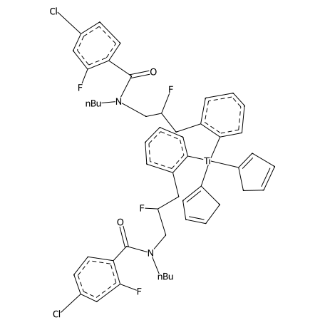 CCCCN(CC(F)Cc1cccc[c]1[Ti]([C]1=CC=CC1)([C]1=CC=CC1)[c]1ccccc1CC(F)CN(CCCC)C(=O)c1ccc(Cl)cc1F)C(=O)c1ccc(Cl)cc1F